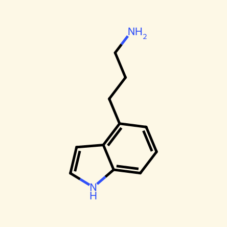 NCCCc1cccc2[nH]ccc12